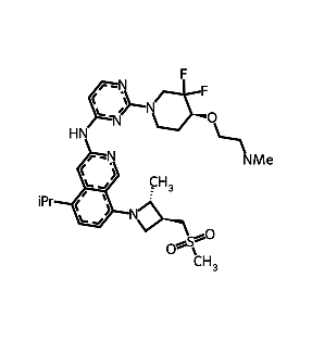 CNCCO[C@H]1CCN(c2nccc(Nc3cc4c(C(C)C)ccc(N5C[C@H](CS(C)(=O)=O)[C@H]5C)c4cn3)n2)CC1(F)F